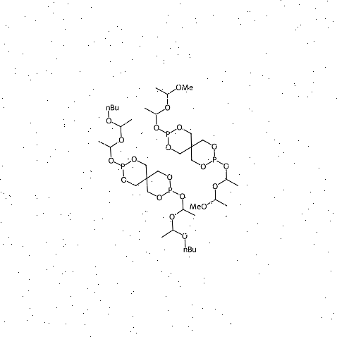 CCCCOC(C)OC(C)OP1OCC2(CO1)COP(OC(C)OC(C)OCCCC)OC2.COC(C)OC(C)OP1OCC2(CO1)COP(OC(C)OC(C)OC)OC2